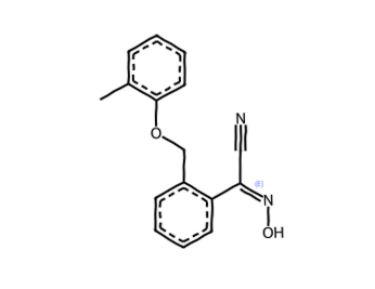 Cc1ccccc1OCc1ccccc1/C(C#N)=N\O